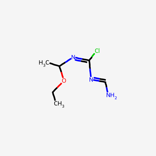 CCOC(C)/N=C(Cl)\N=C\N